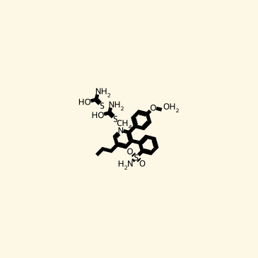 C.CCCc1cnc(-c2ccc(OC)cc2)c(-c2ccccc2S(N)(=O)=O)c1.NC(O)=S.NC(O)=S.O